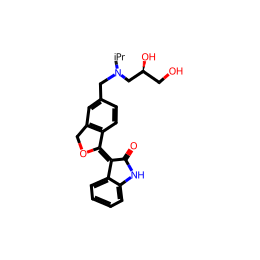 CC(C)N(Cc1ccc2c(c1)CO/C2=C1/C(=O)Nc2ccccc21)C[C@@H](O)CO